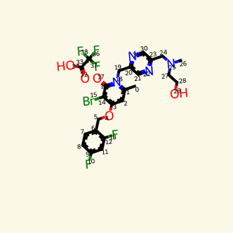 Cc1cc(OCc2ccc(F)cc2F)c(Br)c(=O)n1Cc1cnc(CN(C)CCO)cn1.O=C(O)C(F)(F)F